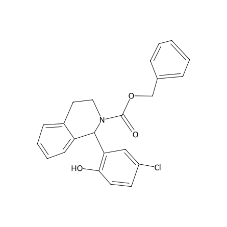 O=C(OCc1ccccc1)N1CCc2ccccc2C1c1cc(Cl)ccc1O